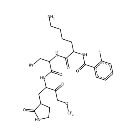 CC(C)CC(NC(=O)C(CCCCN)NC(=O)c1ccccc1F)C(=O)NC(CC1CCNC1=O)C(=O)COC(F)(F)F